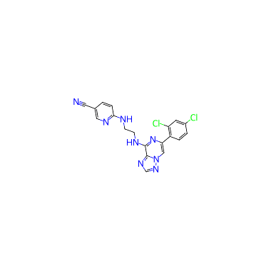 N#Cc1ccc(NCCNc2nc(-c3ccc(Cl)cc3Cl)cn3ncnc23)nc1